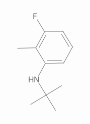 Cc1c(F)cccc1NC(C)(C)C